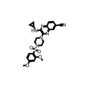 COc1ccc(S(=O)(=O)N2CCN(c3nc4cc(C#N)ccc4nc3NC3CC3)CC2)c(OC)c1